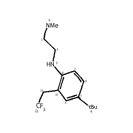 CNCCNc1ccc(C(C)(C)C)cc1CC(F)(F)F